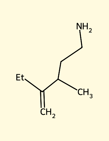 C=C(CC)C(C)CCN